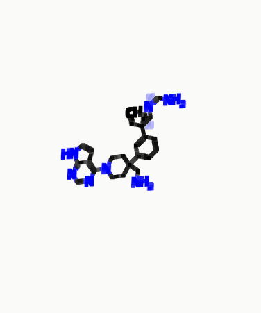 C=C/C(=C\N=C/N)c1cccc(C2(CN)CCN(c3ncnc4[nH]ccc34)CC2)c1